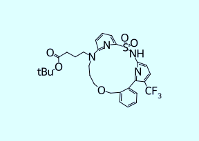 CC(C)(C)OC(=O)CCCN1CCCOCc2ccccc2-c2nc(ccc2C(F)(F)F)NS(=O)(=O)c2cccc1n2